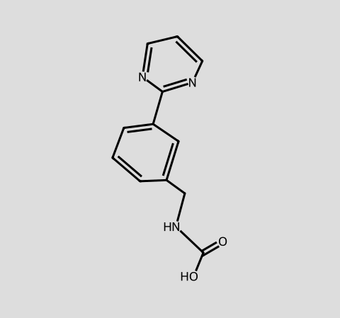 O=C(O)NCc1cccc(-c2ncccn2)c1